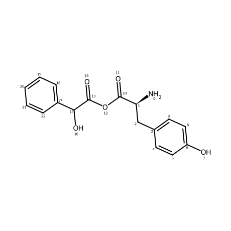 N[C@@H](Cc1ccc(O)cc1)C(=O)OC(=O)C(O)c1ccccc1